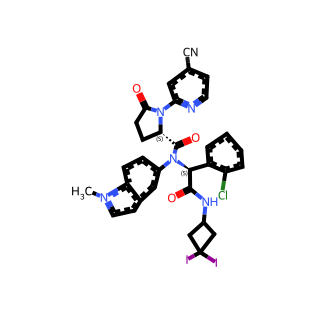 Cn1ccc2cc(N(C(=O)[C@@H]3CCC(=O)N3c3cc(C#N)ccn3)[C@H](C(=O)NC3CC(I)(I)C3)c3ccccc3Cl)ccc21